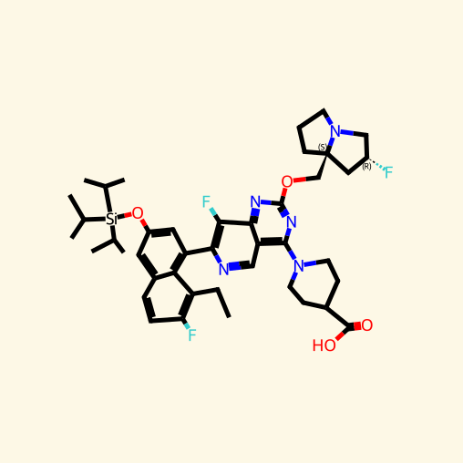 CCc1c(F)ccc2cc(O[Si](C(C)C)(C(C)C)C(C)C)cc(-c3ncc4c(N5CCC(C(=O)O)CC5)nc(OC[C@@]56CCCN5C[C@H](F)C6)nc4c3F)c12